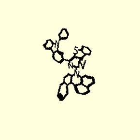 c1ccc(-n2c3ccccc3c3ccc(-c4nc(N5c6ccc7ccccc7c6-c6cccc7cccc5c67)nc5c4sc4ccccc45)cc32)cc1